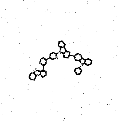 c1ccc(-n2c3ccccc3c3ccc(-c4ccc5c(c4)c4ccccc4n5-c4ccc(-c5cccc(-c6cccc7c6sc6ccccc67)c5)cn4)cc32)cc1